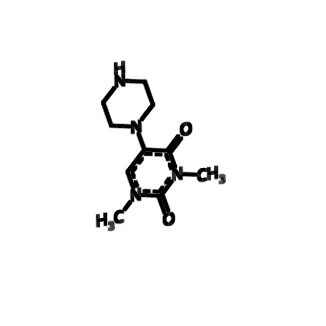 Cn1cc(N2CCNCC2)c(=O)n(C)c1=O